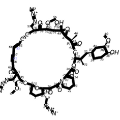 COC[C@H]1C[C@@H]2CC[C@@H](CN=[N+]=[N-])[C@@](O)(O2)C(=O)C(=O)N2CCCC[C@H]2C(=O)O[C@H]([C@H](C)C[C@@H]2CC[C@@H](O)[C@H](OC)C2)CC(=O)[C@H](C)C2OC2(C)[C@@H](O)[C@@H](OC)C(=O)[C@H](CN=[N+]=[N-])CC/C=C/C=C/C2OC21CN=[N+]=[N-]